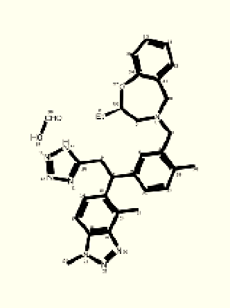 CC[C@@H]1CN(Cc2cc(C(Cc3nnn[nH]3)c3ccc4c(nnn4C)c3C)ccc2C)Cc2ccccc2O1.O=CO